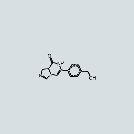 O=C1NC(c2ccc(CO)cc2)=CN2C=NCC12